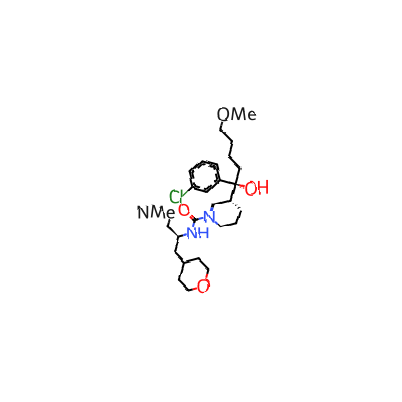 CNC[C@H](CC1CCOCC1)NC(=O)N1CCC[C@@H]([C@@](O)(CCCCOC)c2cccc(Cl)c2)C1